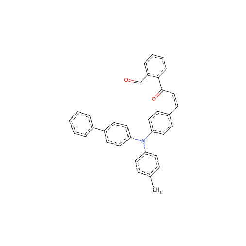 Cc1ccc(N(c2ccc(/C=C\C(=O)c3ccccc3C=O)cc2)c2ccc(-c3ccccc3)cc2)cc1